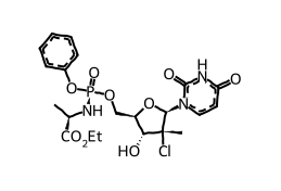 CCOC(=O)[C@@H](C)N[P@@](=O)(OC[C@H]1O[C@@H](n2ccc(=O)[nH]c2=O)[C@](C)(Cl)[C@@H]1O)Oc1ccccc1